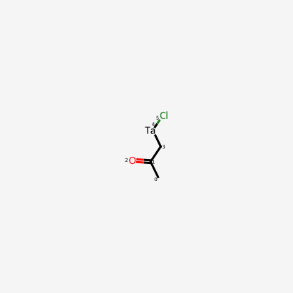 CC(=O)[CH2][Ta][Cl]